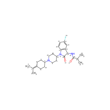 CC(C)=C1CCC(N2CCC(N3C(=O)C(NC(=O)C(C)C)c4cc(F)ccc43)CC2)CC1